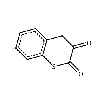 O=C1Cc2cc[c]cc2SC1=O